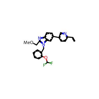 C=Cc1ccc(-c2ccc3nc(COC)n(Cc4ccccc4OC(F)F)c3c2)cn1